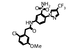 COc1ccc(Cl)c(CC(=O)Nc2ccc(-n3cc(C(F)(F)F)cn3)c(S(N)(=O)=O)c2)c1